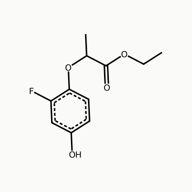 CCOC(=O)C(C)Oc1ccc(O)cc1F